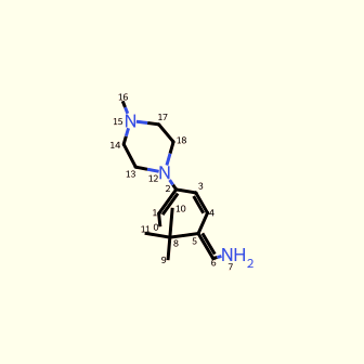 C\C=C(/C=C\C(=C/N)C(C)(C)C)N1CCN(C)CC1